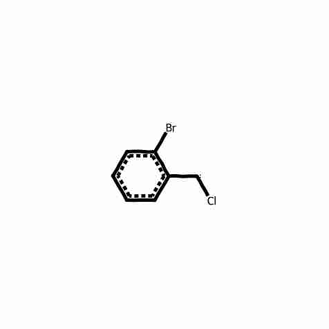 Cl[C]c1ccccc1Br